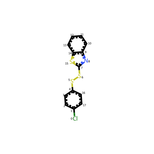 Clc1ccc(SSc2nc3ccccc3s2)cc1